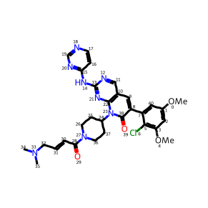 COc1cc(OC)c(Cl)c(-c2cc3cnc(Nc4ccncn4)nc3n(C3CCN(C(=O)/C=C/CN(C)C)CC3)c2=O)c1